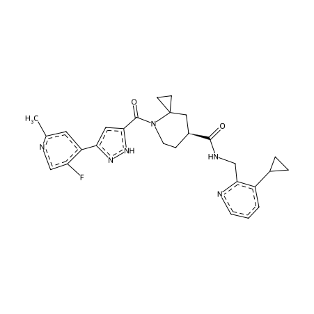 Cc1cc(-c2cc(C(=O)N3CC[C@H](C(=O)NCc4ncccc4C4CC4)CC34CC4)[nH]n2)c(F)cn1